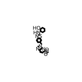 CS(=O)(=O)c1ccc2ncn(Cc3ccc4nc(NC5CCCCC5O)sc4c3)c2n1